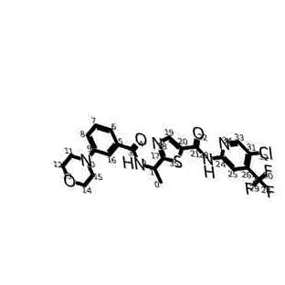 CC(NC(=O)c1cccc(N2CCOCC2)c1)c1ncc(C(=O)Nc2cc(C(F)(F)F)c(Cl)cn2)s1